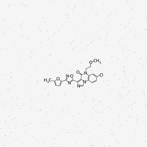 COCCn1c(=O)c2c(-c3nc(-c4ccc(C)o4)no3)ncn2c2ccc(Cl)cc21